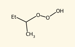 CCC(C)OOO